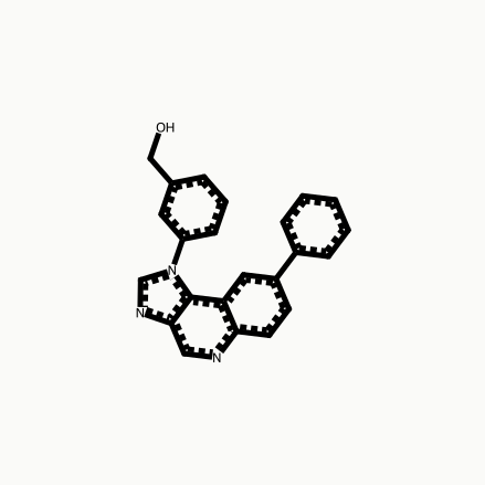 OCc1cccc(-n2cnc3cnc4ccc(-c5ccccc5)cc4c32)c1